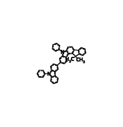 CC1(C)c2ccccc2-c2ccc3c(c21)c1ccc(-c2ccc4c(c2)c2ccccc2n4-c2ccccc2)cc1n3-c1ccccc1